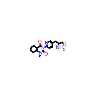 Cn1c2c(c(=O)n(-c3ccc(C[C@H](N)C=O)cn3)c1=O)CCCC2